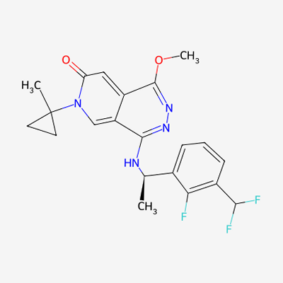 COc1nnc(N[C@H](C)c2cccc(C(F)F)c2F)c2cn(C3(C)CC3)c(=O)cc12